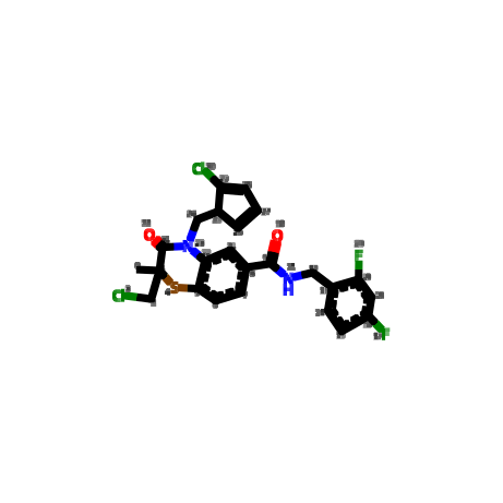 CC1(CCl)Sc2ccc(C(=O)NCc3ccc(F)cc3F)cc2N(CC2C=CC=C2Cl)C1=O